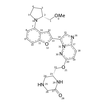 COC[C@H]1CCCN1c1cccc2oc(-c3cnc4ccc(OC[C@H]5CNCC(=O)N5)nn34)cc12